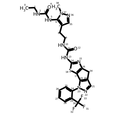 CCNC(=O)Nc1c(CCNC(=O)Nc2nc3c(s2)-c2c(cnn2-c2ccccc2C(F)(F)F)C3)cnn1C